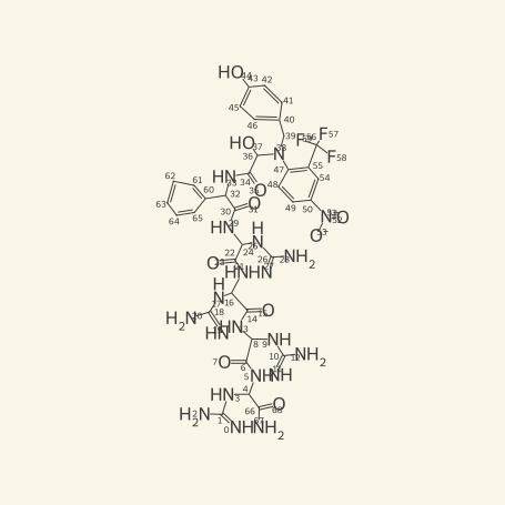 N=C(N)NC(NC(=O)C(NC(=N)N)NC(=O)C(NC(=N)N)NC(=O)C(NC(=N)N)NC(=O)C(NC(=O)C(O)N(Cc1ccc(O)cc1)c1ccc([N+](=O)[O-])cc1C(F)(F)F)c1ccccc1)C(N)=O